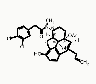 C=CCN1CC[C@]23c4c5ccc(O)c4O[C@H]2[C@H](N(C)C(=O)Cc2ccc(Cl)c(Cl)c2)CC[C@@]3(OC(C)=O)[C@H]1C5